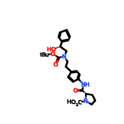 CC(C)(C)OC(=O)N(CCc1ccc(NC(=O)[C@@H]2CCCN2C(=O)O)cc1)C[C@H](O)c1ccccc1